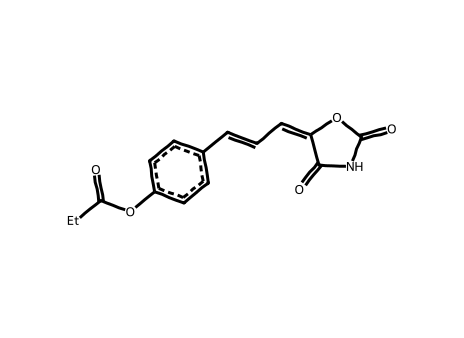 CCC(=O)Oc1ccc(C=CC=C2OC(=O)NC2=O)cc1